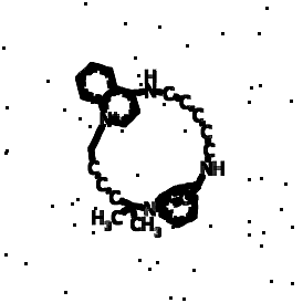 CC1(C)CCCC[n+]2ccc(c3ccccc32)NCCCCCNc2cc[n+]1c1ccccc21